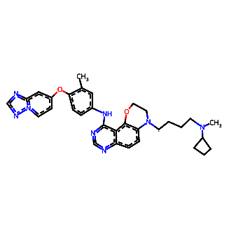 Cc1cc(Nc2ncnc3ccc4c(c23)OCCN4[CH]CCCN(C)C2CCC2)ccc1Oc1ccn2ncnc2c1